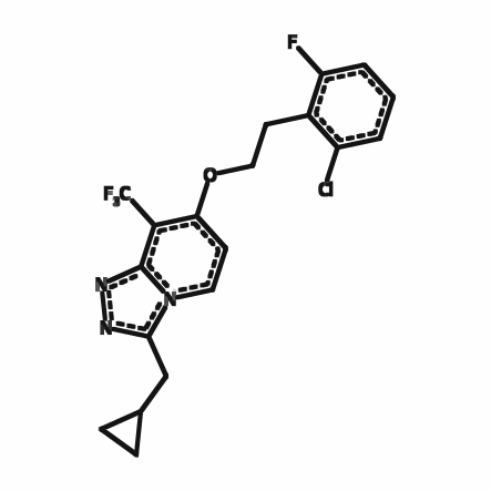 Fc1cccc(Cl)c1CCOc1ccn2c(CC3CC3)nnc2c1C(F)(F)F